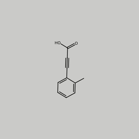 Cc1ccccc1C#CC(=O)O